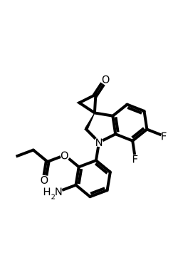 CCC(=O)Oc1c(N)cccc1N1C[C@]2(CC2=O)c2ccc(F)c(F)c21